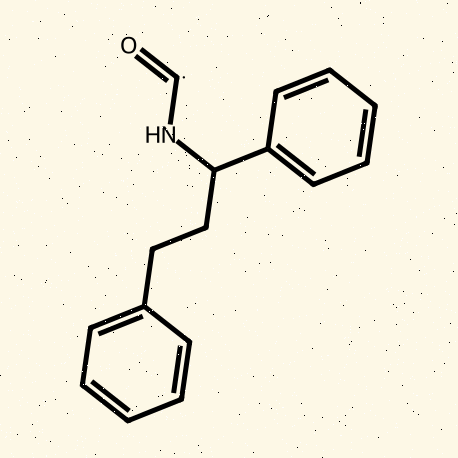 O=[C]NC(CCc1ccccc1)c1ccccc1